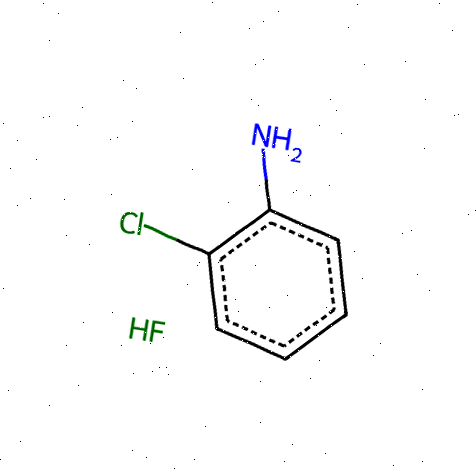 F.Nc1ccccc1Cl